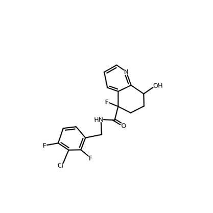 O=C(NCc1ccc(F)c(Cl)c1F)C1(F)CCC(O)c2ncccc21